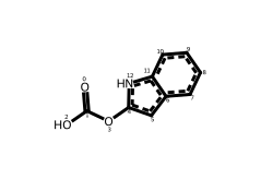 O=C(O)Oc1cc2ccccc2[nH]1